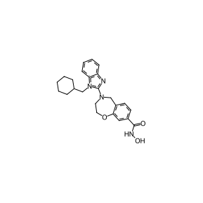 O=C(NO)c1ccc2c(c1)OCCN(c1nc3ccccc3n1CC1CCCCC1)C2